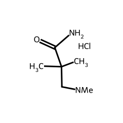 CNCC(C)(C)C(N)=O.Cl